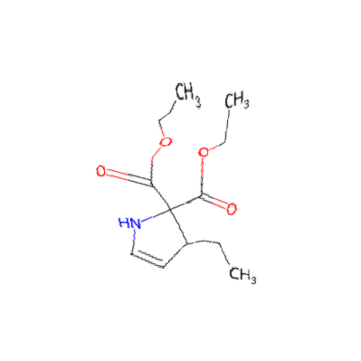 CCOC(=O)C1(C(=O)OCC)NC=CC1CC